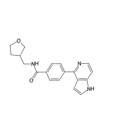 O=C(NCC1CCOC1)c1ccc(-c2nccc3[nH]ccc23)cc1